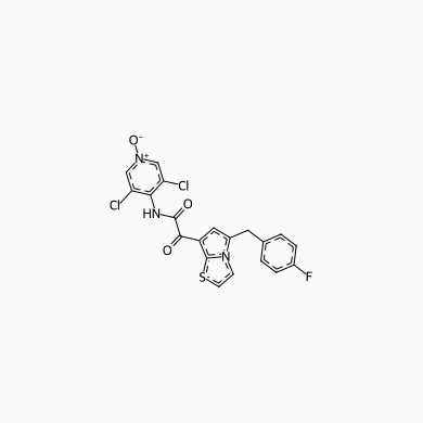 O=C(Nc1c(Cl)c[n+]([O-])cc1Cl)C(=O)c1cc(Cc2ccc(F)cc2)n2ccsc12